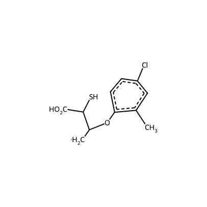 [CH2]C(Oc1ccc(Cl)cc1C)C(S)C(=O)O